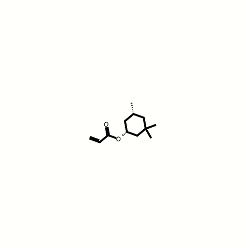 C=CC(=O)O[C@@H]1C[C@H](C)CC(C)(C)C1